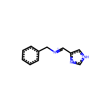 C(=N\Cc1ccccc1)/c1c[nH]cn1